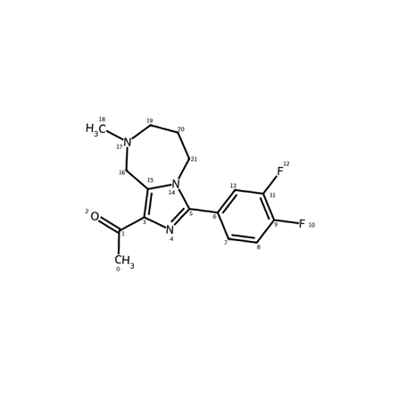 CC(=O)c1nc(-c2ccc(F)c(F)c2)n2c1CN(C)CCC2